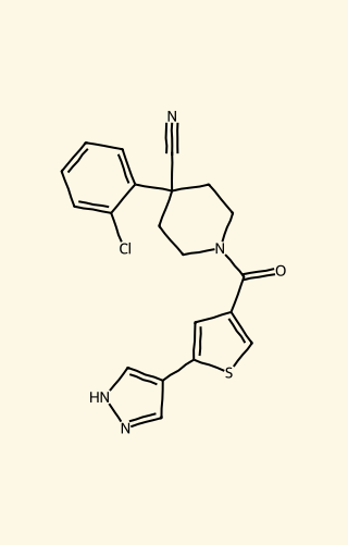 N#CC1(c2ccccc2Cl)CCN(C(=O)c2csc(-c3cn[nH]c3)c2)CC1